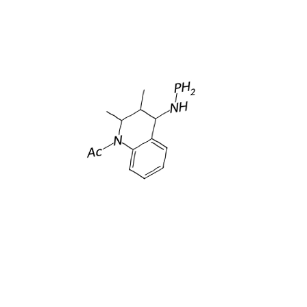 CC(=O)N1c2ccccc2C(NP)C(C)C1C